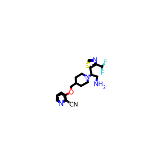 N#Cc1ncccc1OCC1CCN(C(CN)c2scnc2C(F)F)CC1